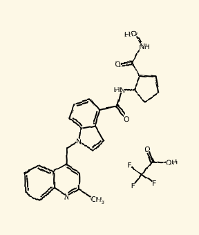 Cc1cc(Cn2ccc3c(C(=O)NC4CCCC4C(=O)NO)cccc32)c2ccccc2n1.O=C(O)C(F)(F)F